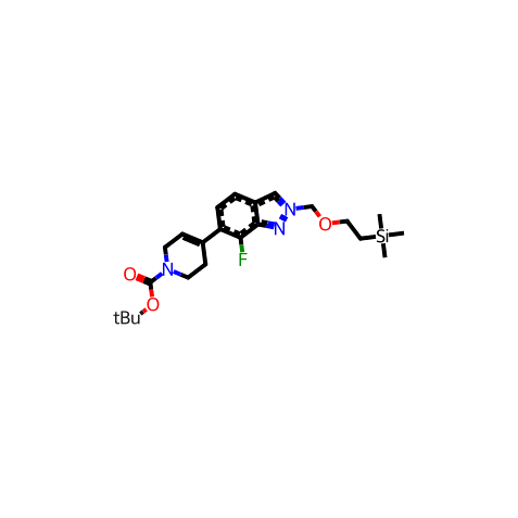 CC(C)(C)OC(=O)N1CC=C(c2ccc3cn(COCC[Si](C)(C)C)nc3c2F)CC1